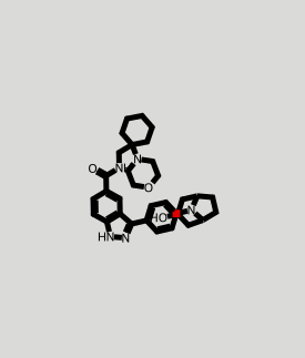 O=C(NCC1(N2CCOCC2)CCCCC1)c1ccc2[nH]nc(-c3ccc(N4C5CCC4CC(O)C5)cc3)c2c1